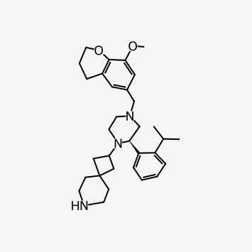 COc1cc(CN2CCN(C3CC4(CCNCC4)C3)[C@H](c3ccccc3C(C)C)C2)cc2c1OCCC2